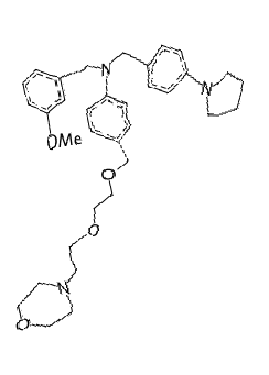 COc1cccc(CN(Cc2ccc(N3CCCC3)cc2)c2ccc(COCCOCCN3CCOCC3)cc2)c1